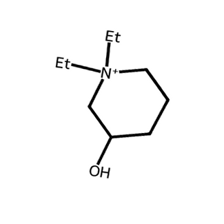 CC[N+]1(CC)CCCC(O)C1